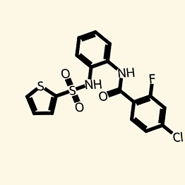 O=C(Nc1ccccc1NS(=O)(=O)c1cccs1)c1ccc(Cl)cc1F